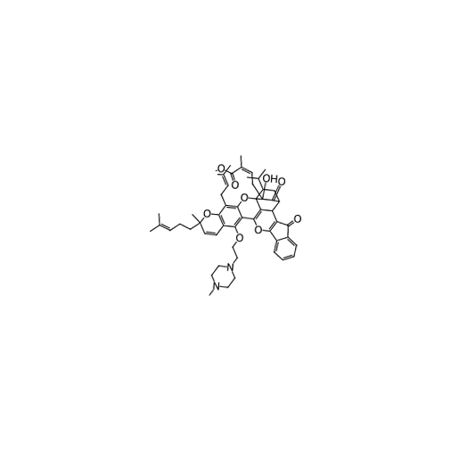 COC(=O)/C(C)=C\CC1(O)C(=O)C2CC(C(C)C)C13Oc1c(CC=C(C)C)c4c(c(OCCN5CCN(C)CC5)c1C1=C3C2C2=C(O1)c1ccccc1C2=O)C=CC(C)(CCC=C(C)C)O4